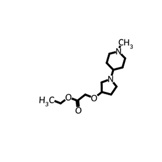 CCOC(=O)COC1CCN(C2CCN(C)CC2)C1